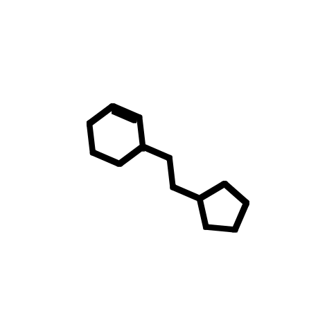 C1=C[C](CCC2CCCC2)CCC1